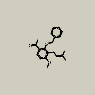 COc1ccc(C(C)=O)c(OCc2ccccc2)c1CC=C(C)C